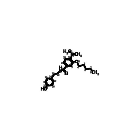 CCCCCOc1cc(C(=O)NCCc2ccc(O)cc2)ccc1N(C)C